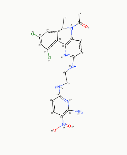 CCN(C(C)=O)c1ccc(NCCNc2ccc([N+](=O)[O-])c(N)n2)nc1-c1ccc(Cl)cc1Cl